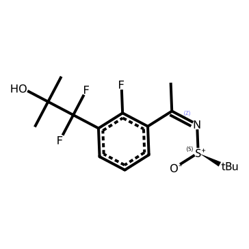 C/C(=N/[S@+]([O-])C(C)(C)C)c1cccc(C(F)(F)C(C)(C)O)c1F